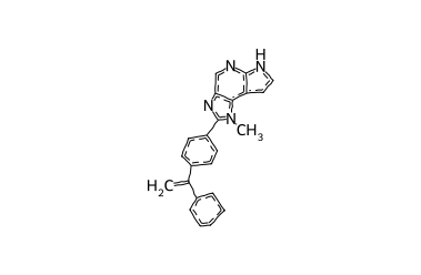 C=C(c1ccccc1)c1ccc(-c2nc3cnc4[nH]ccc4c3n2C)cc1